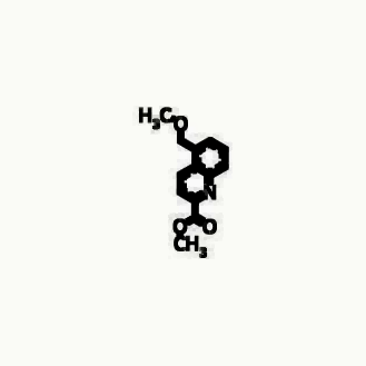 COCc1cccc2nc(C(=O)OC)ccc12